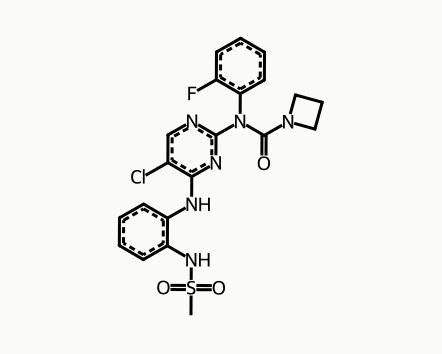 CS(=O)(=O)Nc1ccccc1Nc1nc(N(C(=O)N2CCC2)c2ccccc2F)ncc1Cl